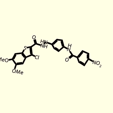 COc1cc2sc(C(=O)NNc3ccc(NC(=O)c4ccc([N+](=O)[O-])cc4)cc3)c(Cl)c2cc1OC